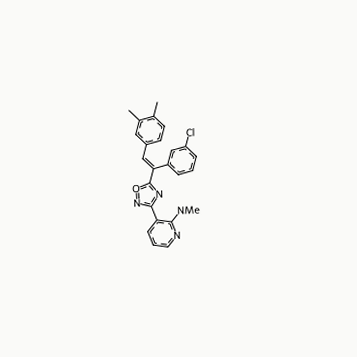 CNc1ncccc1-c1noc(/C(=C/c2ccc(C)c(C)c2)c2cccc(Cl)c2)n1